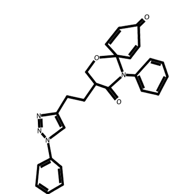 O=C1C=CC2(C=C1)OCC(CCc1cn(-c3ccccc3)nn1)C(=O)N2c1ccccc1